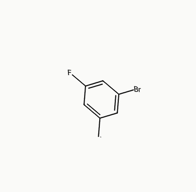 [CH2]c1cc(F)cc(Br)c1